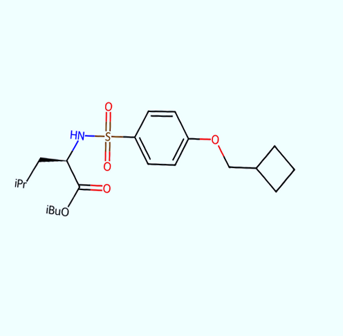 CC(C)COC(=O)[C@@H](CC(C)C)NS(=O)(=O)c1ccc(OCC2CCC2)cc1